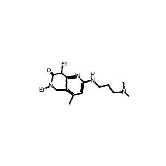 CCC1C(=O)N(Br)Cc2c(C)cc(NCCCN(C)C)nc21